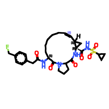 O=C(Cc1ccc(CF)cc1)N[C@H]1CCCCC/C=C\[C@@H]2C[C@@]2(C(=O)NS(=O)(=O)C2CC2)NC(=O)C2CCCN2C1=O